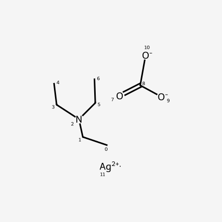 CCN(CC)CC.O=C([O-])[O-].[Ag+2]